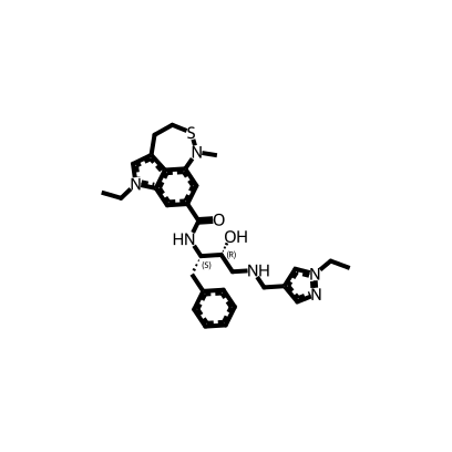 CCn1cc(CNC[C@@H](O)[C@H](Cc2ccccc2)NC(=O)c2cc3c4c(cn(CC)c4c2)CCSN3C)cn1